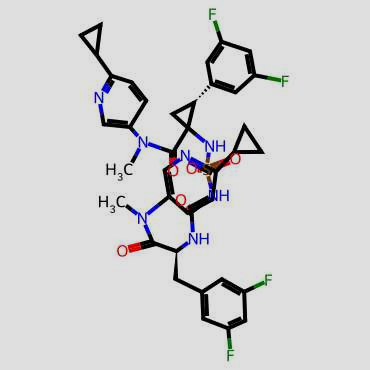 CN(C(=O)[C@H](Cc1cc(F)cc(F)c1)NC(=O)NS(=O)(=O)NC1(C(=O)N(C)c2ccc(C3CC3)nc2)C[C@@H]1c1cc(F)cc(F)c1)c1ccc(C2CC2)nc1